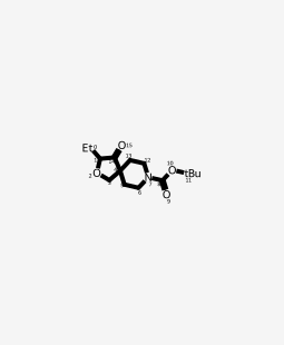 CCC1OCC2(CCN(C(=O)OC(C)(C)C)CC2)C1=O